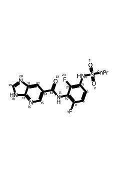 CCCS(=O)(=O)Nc1ccc(F)c(NC(=O)c2cnc3[nH]cnc3c2)c1F